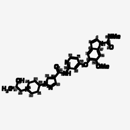 CNC(=O)n1ccc2cc(Oc3ccnc(NC(=O)c4cnn(C5CCN(C[C@H](C)O)CC5)c4)c3)c(OC)cc21